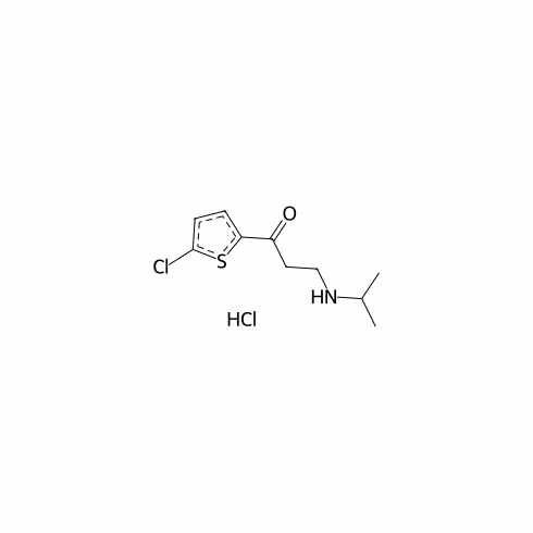 CC(C)NCCC(=O)c1ccc(Cl)s1.Cl